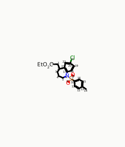 CCOC(=O)CC1CCCN(S(=O)(=O)c2ccc(C)cc2)c2ccc(Cl)cc21